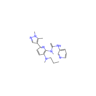 C=C(Nc1cccnc1)N(C)c1nc(-c2cnn(C)c2C)ccc1N(C)CCC